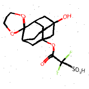 O=C(OC12CC3CC(O)(CC(C1)C31OCCO1)C2)C(F)(F)S(=O)(=O)O